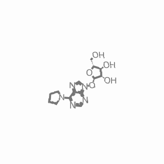 OC[C@H]1O[C@H](On2cnc3c(N4CCCC4)ncnc32)[C@@H](O)[C@@H]1O